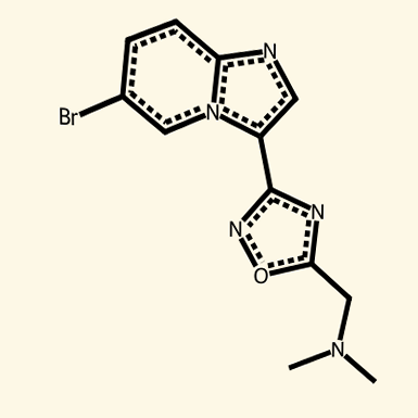 CN(C)Cc1nc(-c2cnc3ccc(Br)cn23)no1